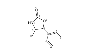 C=C/C(=C\C)C1OC(=O)NC1C